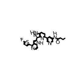 CCCC(=O)Nc1cncc(-c2ccc3[nH]nc(-c4cc5c(-c6ccc(F)s6)nccc5[nH]4)c3n2)c1